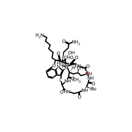 CC[C@H](C)[C@@H]1NC(=O)CNC(=O)C2Cc3c4[nH]c5cc(ccc35)OC(CCCCCCN)(C(=O)[C@H](CCC(N)=O)NC(=O)C(C[S+]4[O-])NC(=O)CNC1=O)N1C[C@H](O)C[C@]1(C=O)N[C@@H]([C@@H](C)[C@@H](O)CO)C(=O)N2